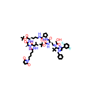 CC(C)[C@H](NC(=O)CCCCCN1C(=O)C=CC1=O)C(=O)N[C@@H](C)C(=O)N[C@@H](CCCCNC(=O)[C@H]1CCC[C@H]1NC(=O)[C@H](CCN(C(=O)CO)[C@@H](c1nc(-c2cc(F)ccc2F)cn1Cc1ccccc1)C(C)(C)C)NC(=O)OC(C)(C)C)C(=O)OC(C)(C)C